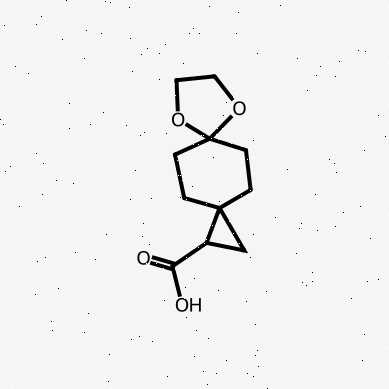 O=C(O)C1CC12CCC1(CC2)OCCO1